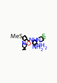 CSc1ccc(C(=O)Nc2cc(N)c(N)c(N3CCC(F)(F)CC3)c2)c(N2CCC3(CC2)CC3)c1